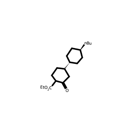 CCCC[C@H]1CC[C@H](C2CCC(C(=O)OCC)C(=O)C2)CC1